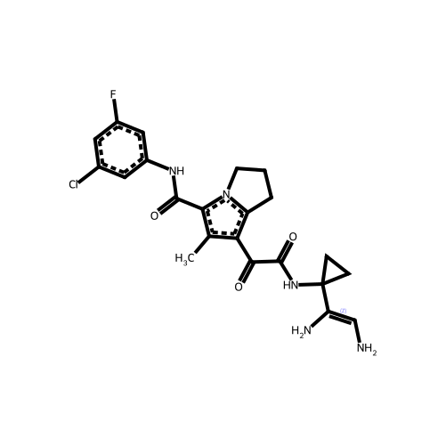 Cc1c(C(=O)C(=O)NC2(/C(N)=C/N)CC2)c2n(c1C(=O)Nc1cc(F)cc(Cl)c1)CCC2